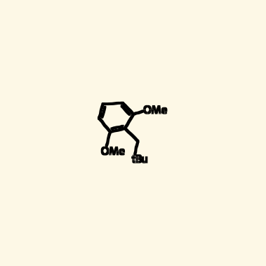 COc1cccc(OC)c1CC(C)(C)C